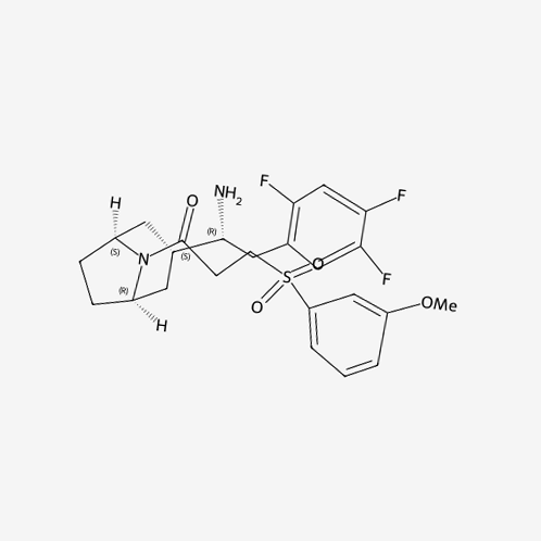 COc1cccc(S(=O)(=O)CCC(=O)N2[C@@H]3CC[C@H]2C[C@H]([C@H](N)Cc2cc(F)c(F)cc2F)C3)c1